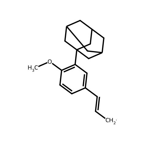 [CH2]C=Cc1ccc(OC)c(C23CC4CC(CC(C4)C2)C3)c1